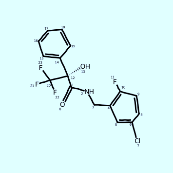 O=C(NCc1cc(Cl)ccc1F)[C@](O)(c1ccccc1)C(F)(F)F